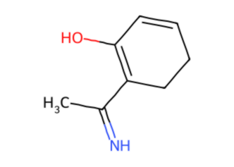 CC(=N)C1=C(O)C=CCC1